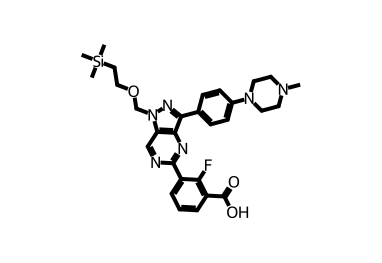 CN1CCN(c2ccc(-c3nn(COCC[Si](C)(C)C)c4cnc(-c5cccc(C(=O)O)c5F)nc34)cc2)CC1